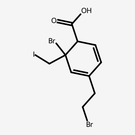 O=C(O)C1C=CC(CCBr)=CC1(Br)CI